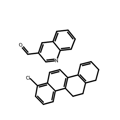 Clc1cccc2c3c(ccc12)C1=C(CCC=C1)CC3.O=Cc1cnc2ccccc2c1